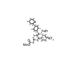 COC(=O)C[C@H]1CCN([C@@H](CCC(C)C)c2ccc(-c3ccccn3)cc2)[C@@H](C2C=CC(C(F)(F)F)=CC2)C1